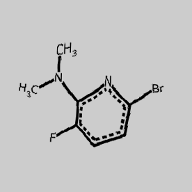 CN(C)c1nc(Br)ccc1F